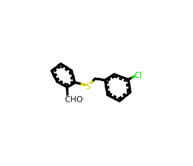 O=[C]c1ccccc1SCc1cccc(Cl)c1